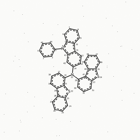 c1ccc(-n2c3ccccc3c3ccc(N(c4cccc5c4sc4ccccc45)c4cccc5sc6ccccc6c45)cc32)cc1